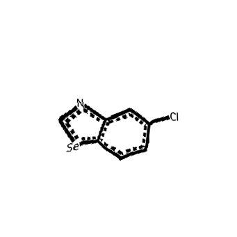 Clc1ccc2[se]cnc2c1